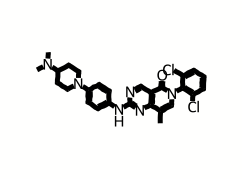 Cc1cn(-c2c(Cl)cccc2Cl)c(=O)c2cnc(Nc3ccc(N4CCC(N(C)C)CC4)cc3)nc12